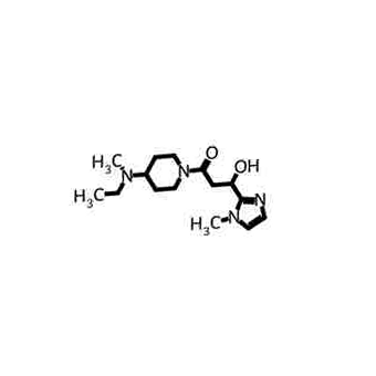 CCN(C)C1CCN(C(=O)CC(O)c2nccn2C)CC1